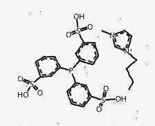 CCCC[n+]1ccn(C)c1.O=S(=O)(O)c1cccc(P(c2cccc(S(=O)(=O)O)c2)c2cccc(S(=O)(=O)O)c2)c1